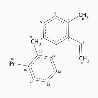 C=Cc1ccccc1C.Cc1ccccc1C(C)C